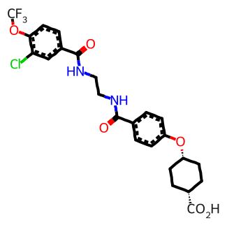 O=C(NCCNC(=O)c1ccc(OC(F)(F)F)c(Cl)c1)c1ccc(O[C@H]2CC[C@@H](C(=O)O)CC2)cc1